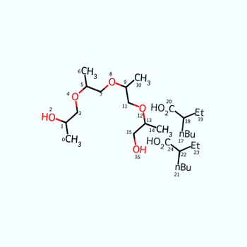 CC(O)COC(C)COC(C)COC(C)CO.CCCCC(CC)C(=O)O.CCCCC(CC)C(=O)O